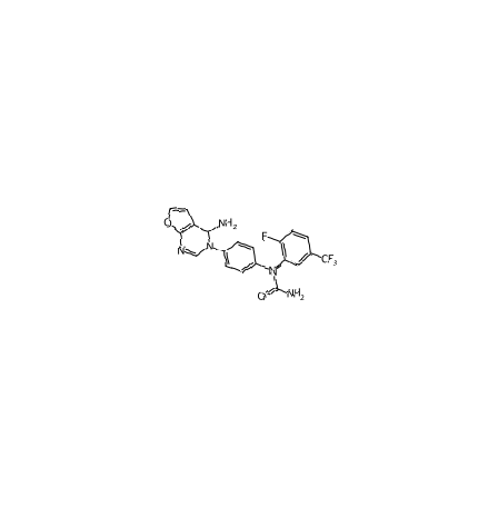 NC(=O)N(c1ccc(N2C=Nc3occc3C2N)cc1)c1cc(C(F)(F)F)ccc1F